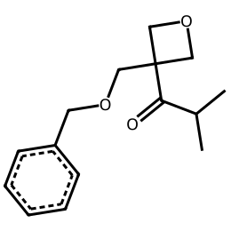 CC(C)C(=O)C1(COCc2ccccc2)COC1